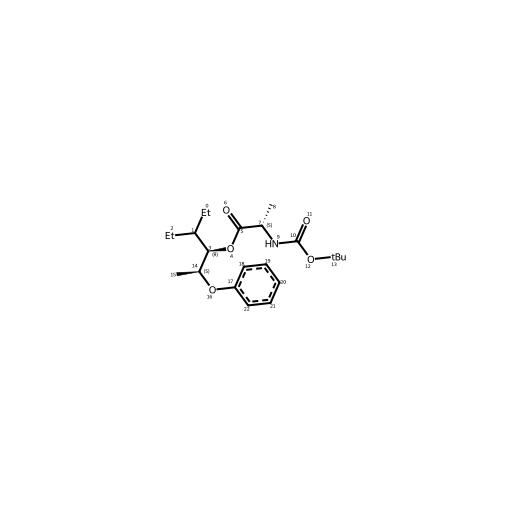 CCC(CC)[C@@H](OC(=O)[C@H](C)NC(=O)OC(C)(C)C)[C@H](C)Oc1ccccc1